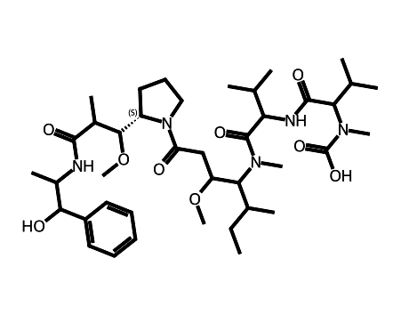 CCC(C)C(C(CC(=O)N1CCC[C@H]1C(OC)C(C)C(=O)NC(C)C(O)c1ccccc1)OC)N(C)C(=O)C(NC(=O)C(C(C)C)N(C)C(=O)O)C(C)C